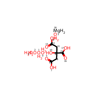 O.O.O.O.O.O=C(O)CC(O)(CC(=O)O)C(=O)O.[MgH2]